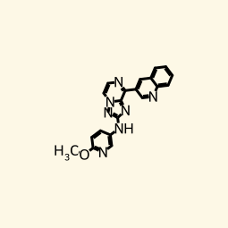 COc1ccc(Nc2nc3c(-c4cnc5ccccc5c4)nccn3n2)cn1